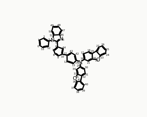 c1ccc(-n2c(-c3cccc(-c4ccc(N(c5ccc6c(c5)oc5ccccc56)c5ccc6c(c5)oc5ccccc56)cc4)c3)nc3ccccc32)cc1